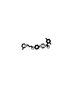 Cc1ccc(C)c(C(=O)N2CCN(c3ccc(OCCCN4CCCC(C)C4)cc3)CC2)c1